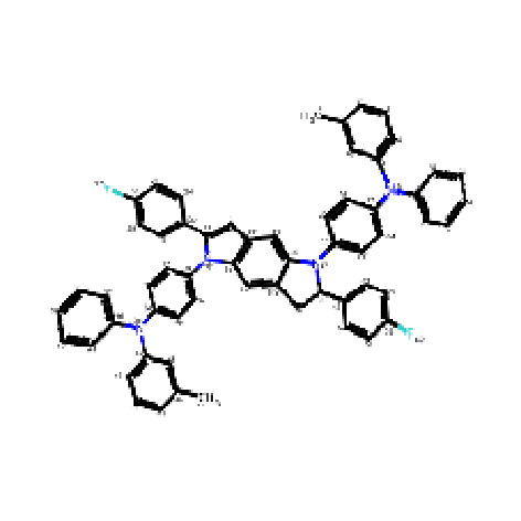 Cc1cccc(N(c2ccccc2)c2ccc(N3c4cc5cc(-c6ccc(F)cc6)n(-c6ccc(N(c7ccccc7)c7cccc(C)c7)cc6)c5cc4CC3c3ccc(F)cc3)cc2)c1